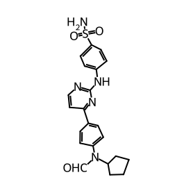 NS(=O)(=O)c1ccc(Nc2nccc(-c3ccc(N(C=O)C4CCCC4)cc3)n2)cc1